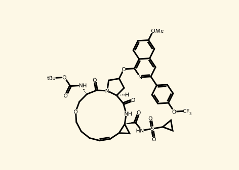 COc1ccc2c(OC3C[C@H]4C(=O)N[C@]5(C(=O)NS(=O)(=O)C6CC6)CC5/C=C\CCCOC[C@H](NC(=O)OC(C)(C)C)C(=O)N4C3)nc(-c3ccc(OC(F)(F)F)cc3)cc2c1